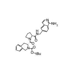 CC(C)(C)OC(=O)N1Cc2ccccc2C[C@@H]1C(=O)N1CCC[C@H]1C(=O)NCc1ccc2c(N)nccc2c1